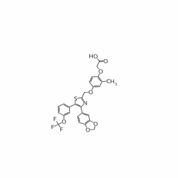 Cc1cc(OCc2nc(-c3ccc4c(c3)OCO4)c(-c3cccc(OC(F)(F)F)c3)s2)ccc1OCC(=O)O